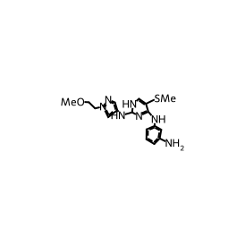 COCCn1cc(NC2N=C(Nc3cccc(N)c3)C(SC)=CN2)cn1